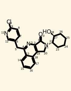 O=C1c2nc(Cc3ccc(Cl)nc3)c3ccccc3c2CN1[C@H]1CCCC[C@@H]1O